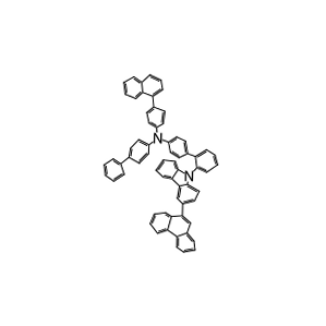 c1ccc(-c2ccc(N(c3ccc(-c4ccccc4-n4c5ccccc5c5cc(-c6cc7ccccc7c7ccccc67)ccc54)cc3)c3ccc(-c4cccc5ccccc45)cc3)cc2)cc1